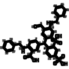 O=Cc1cc(C(c2ccc(NCc3ccccc3)c(C(=O)O)c2)c2ccc(S(=O)(=O)O)cc2S(=O)(=O)O)ccc1NCc1ccccc1